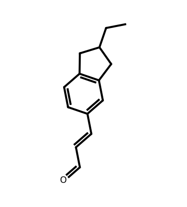 CCC1Cc2ccc(C=CC=O)cc2C1